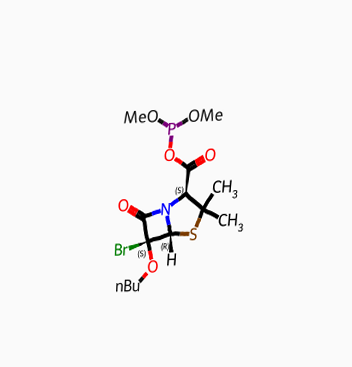 CCCCO[C@]1(Br)C(=O)N2[C@@H](C(=O)OP(OC)OC)C(C)(C)S[C@@H]21